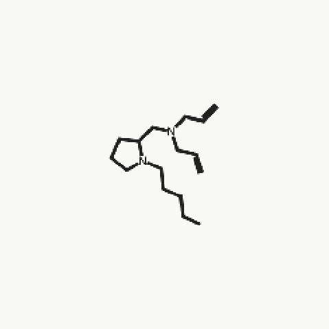 C=CCN(CC=C)CC1CCCN1CCCCC